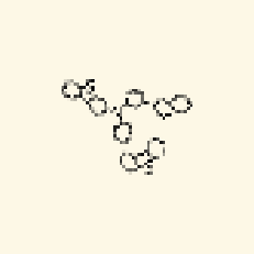 c1cc(-c2ccc3ccccc3c2)cc(N(c2ccc(-c3cccc4sc5ccccc5c34)cc2)c2ccc3c(c2)sc2ccccc23)c1